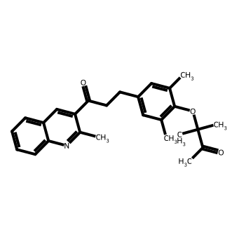 CC(=O)C(C)(C)Oc1c(C)cc(CCC(=O)c2cc3ccccc3nc2C)cc1C